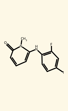 Cn1c(Nc2ccc(I)cc2F)cccc1=O